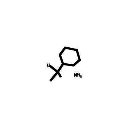 N.[Li][C](C)(C)C1CCCCC1